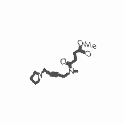 COC(=O)CCC(=O)N(C)CC#CCN1CCCC1